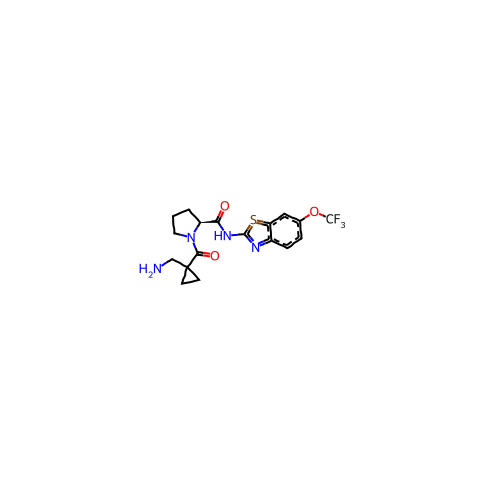 NCC1(C(=O)N2CCC[C@H]2C(=O)Nc2nc3ccc(OC(F)(F)F)cc3s2)CC1